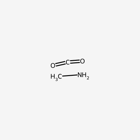 CN.O=C=O